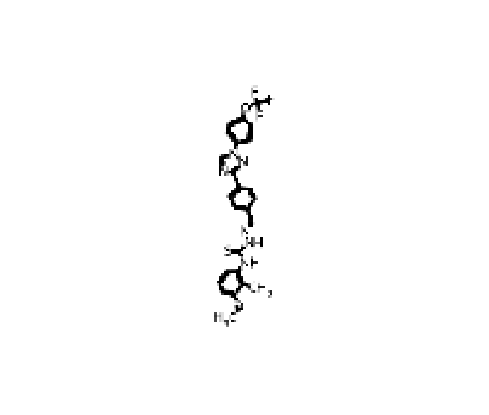 COc1cccc(NC(=S)N/N=C/c2ccc(-c3ncn(-c4ccc(OC(F)(F)F)cc4)n3)cc2)c1C